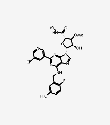 COC1[C@@H](C(=O)NC(C)C)O[C@@H](n2cnc3c(NCc4cc(C)ccc4F)nc(-c4cncc(Cl)c4)nc32)[C@@H]1O